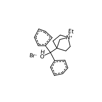 CC[N+]12CCC(C(O)(c3ccccc3)c3ccccc3)(CC1)C2.[Br-]